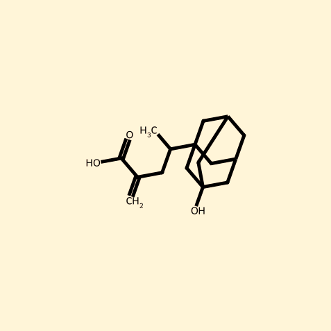 C=C(CC(C)C12CC3CC(CC(O)(C3)C1)C2)C(=O)O